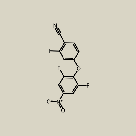 N#Cc1ccc(Oc2c(F)cc([N+](=O)[O-])cc2F)cc1I